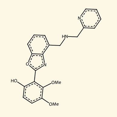 COc1ccc(O)c(-c2nc3c(CNCc4ccccn4)cccc3o2)c1OC